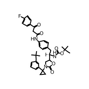 CC(C)(C)OC(=O)N[C@](I)(Cc1ccc(NC(=O)CC(=O)c2ccc(F)cc2)cc1)C1CN(C2(c3cccc(C(C)(C)C)c3)CC2)C(=O)O1